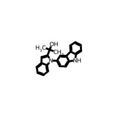 CC(C)(O)c1cc2ccccc2n1-c1ccc2[nH]c3ccccc3c2c1